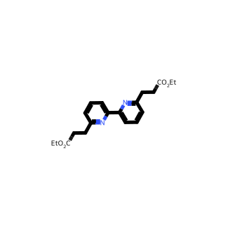 CCOC(=O)CCc1cccc(-c2cccc(CCC(=O)OCC)n2)n1